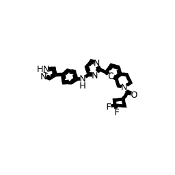 O=C(C1CC(F)(F)C1)N1CCc2ccc(-c3nccc(Nc4ccc(-c5cn[nH]c5)cc4)n3)cc2C1